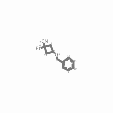 CCC1(C#N)CC(OCc2ccccc2)C1